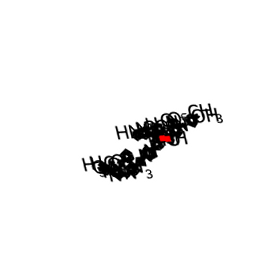 COc1cc(CN2CCN(C3CC(N4CCN(c5ccc(C(=O)NS(=O)(=O)c6ccc(NC[C@H]7CC[C@](C)(O)CC7)c([N+](=O)[O-])c6)c(N6c7cc8cc[nH]c8nc7O[C@H]7COCC[C@@H]76)c5)CC4)C3)[C@H](c3ccccc3C(C)C)C2)cnc1N1CCOCC1